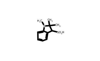 CN1c2ccccc2C(S(=O)(=O)O)C1(C)C